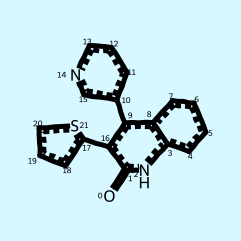 O=c1[nH]c2ccccc2c(-c2cccnc2)c1-c1cccs1